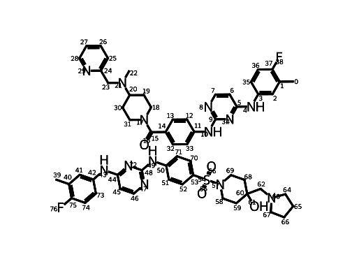 Cc1cc(Nc2ccnc(Nc3ccc(C(=O)N4CCC(N(C)Cc5ccccn5)CC4)cc3)n2)ccc1F.Cc1cc(Nc2ccnc(Nc3ccc(S(=O)(=O)N4CCC(O)(CN5CCCC5)CC4)cc3)n2)ccc1F